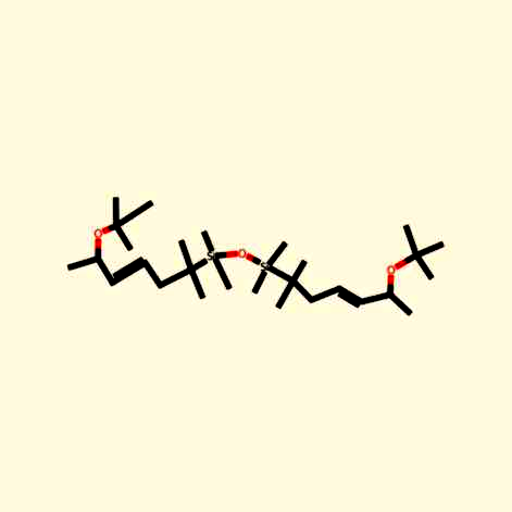 CC(C=CCC(C)(C)[Si](C)(C)O[Si](C)(C)C(C)(C)CC=CC(C)OC(C)(C)C)OC(C)(C)C